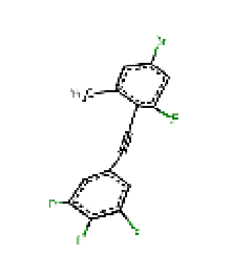 Cc1cc(Br)cc(F)c1C#Cc1cc(F)c(F)c(F)c1